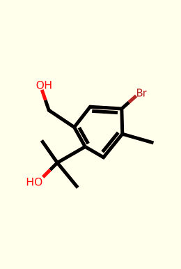 Cc1cc(C(C)(C)O)c(CO)cc1Br